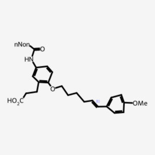 CCCCCCCCCC(=O)Nc1ccc(OCCCC/C=C/c2ccc(OC)cc2)c(CCC(=O)O)c1